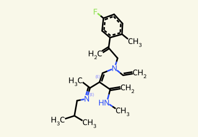 C=CN(/C=C(C(=C)NC)/C(C)=N/CC(C)C)CC(=C)c1cc(F)ccc1C